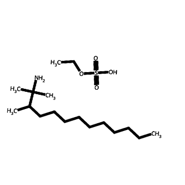 CCCCCCCCCCC(C)C(C)(C)N.CCOS(=O)(=O)O